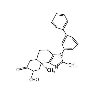 Cc1nc2c(n1-c1cccc(-c3ccccc3)c1)CCC1CC(=O)C(C=O)C[C@]21C